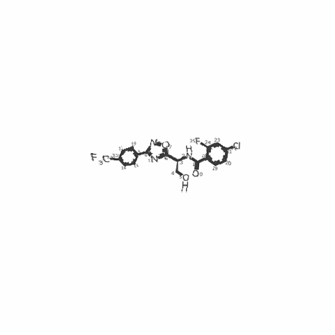 O=C(N[C@@H](CO)c1nc(-c2ccc(C(F)(F)F)cc2)no1)c1ccc(Cl)cc1F